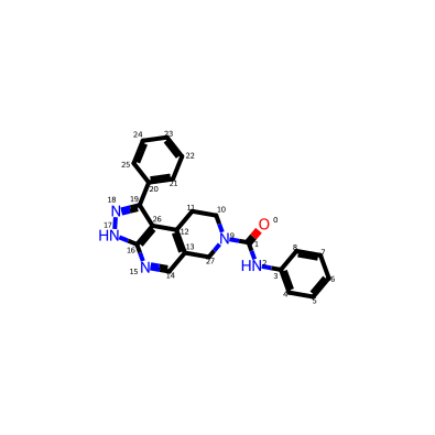 O=C(Nc1ccccc1)N1CCc2c(cnc3[nH]nc(-c4ccccc4)c23)C1